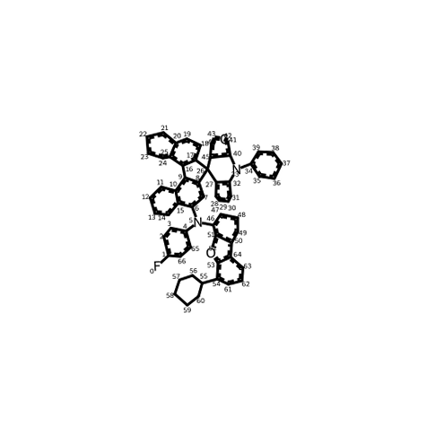 Fc1ccc(N(c2cc3c(c4ccccc24)-c2c(ccc4ccccc24)C32c3ccccc3N(c3ccccc3)c3ccccc32)c2cccc3c2oc2c(C4CCCCC4)cccc23)cc1